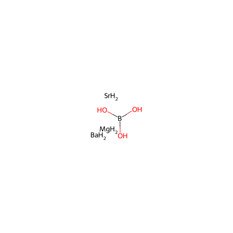 OB(O)O.[BaH2].[MgH2].[SrH2]